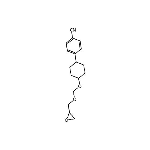 N#Cc1ccc(C2CCC(OCOCC3CO3)CC2)cc1